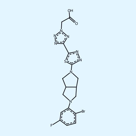 O=C(O)Cn1nnc(-c2nnc(N3CC4CN(c5cc(F)ccc5Br)CC4C3)s2)n1